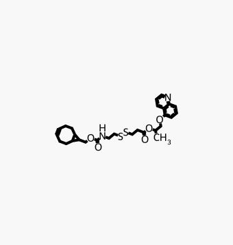 CC(COc1cccc2ncccc12)OC(=O)CCSSCCNC(=O)OCC1C2CCC#CCCC21